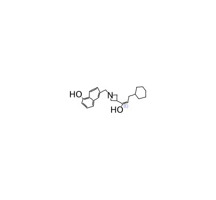 O/C(=C/CC1CCCCC1)C1CN(Cc2ccc3c(O)cccc3c2)C1